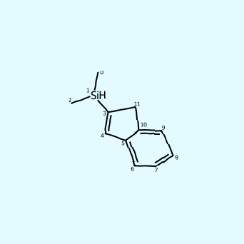 C[SiH](C)C1=Cc2ccccc2C1